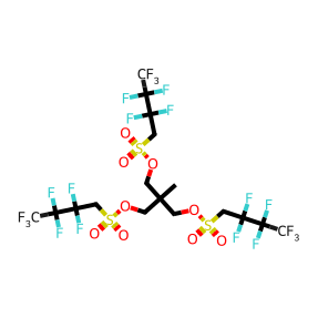 CC(COS(=O)(=O)CC(F)(F)C(F)(F)C(F)(F)F)(COS(=O)(=O)CC(F)(F)C(F)(F)C(F)(F)F)COS(=O)(=O)CC(F)(F)C(F)(F)C(F)(F)F